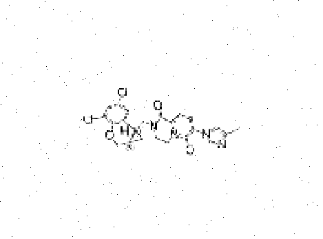 Cc1cn(-c2ccc3n(c2=O)CCN(C[C@]24C[C@H]2COc2c(Cl)cc(Cl)cc24)C3=O)cn1